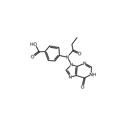 CCC(=O)N(c1ccc(C(=O)O)cc1)n1cnc2c(=O)[nH]cnc21